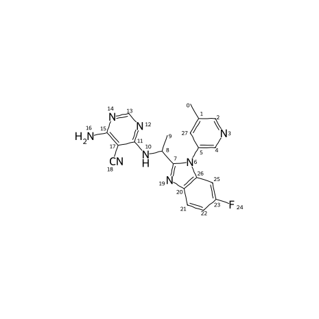 Cc1cncc(-n2c(C(C)Nc3ncnc(N)c3C#N)nc3ccc(F)cc32)c1